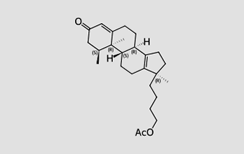 CC(=O)OCCCC[C@]1(C)CCC2=C1CC[C@H]1[C@H]2CCC2=CC(=O)C[C@H](C)[C@@]21C